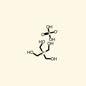 O=P([O-])(O)O.OC[P+](CO)(CO)CO